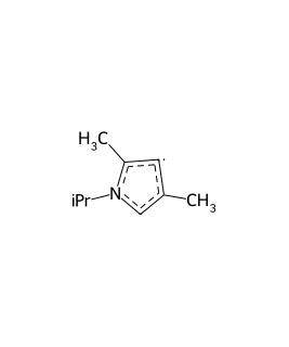 Cc1[c]c(C)n(C(C)C)c1